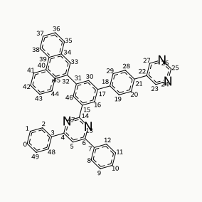 c1ccc(-c2cc(-c3ccccc3)nc(-c3cc(-c4ccc(-c5cncnc5)cc4)cc(-c4cc5ccccc5c5ccccc45)c3)n2)cc1